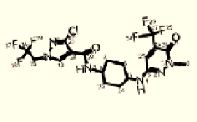 Cn1nc(NC2CCC(NC(=O)c3cn(CC(F)(F)F)nc3Cl)CC2)cc(C(F)(F)F)c1=O